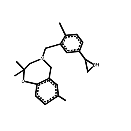 Cc1ccc2c(c1)CN(Cc1cc(C3BC3)ccc1C)CC(C)(C)O2